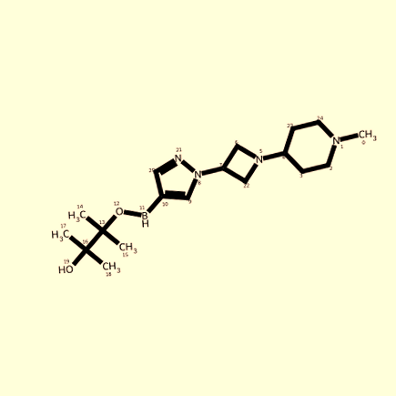 CN1CCC(N2CC(n3cc(BOC(C)(C)C(C)(C)O)cn3)C2)CC1